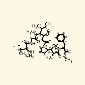 CCC(C)C(C(CC(=O)N1CCCC1C(OC)C(C)C(=O)NC(Cc1ccccc1)C(=O)OC)OC)N(C)C(=O)CNC(=O)C(NC)C(C)C